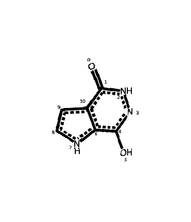 O=c1[nH]nc(O)c2[nH]ccc12